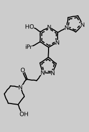 CC(C)c1c(O)nc(-n2ccnc2)nc1-c1cnn(CC(=O)N2CCCC(O)C2)c1